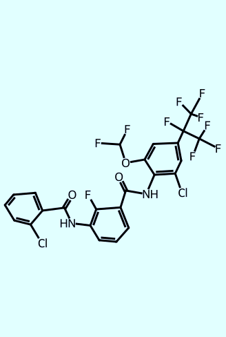 O=C(Nc1cccc(C(=O)Nc2c(Cl)cc(C(F)(C(F)(F)F)C(F)(F)F)cc2OC(F)F)c1F)c1ccccc1Cl